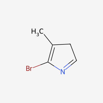 CC1=C(Br)N=CC1